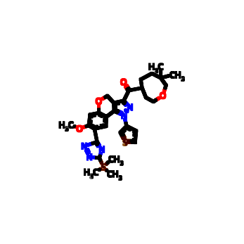 COc1cc2c(cc1C1=NC(S(C)(C)C)N=N1)-c1c(c(C(=O)C3CCOCC(C)(C)CC3)nn1-c1ccsc1)CO2